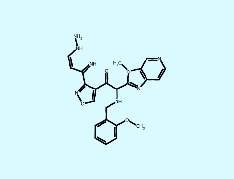 COc1ccccc1CNC(C(=O)c1conc1C(=N)/C=C\NN)c1nc2ccncc2n1C